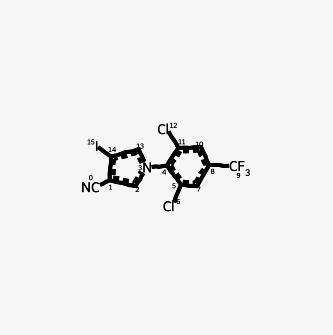 N#Cc1cn(-c2c(Cl)cc(C(F)(F)F)cc2Cl)cc1I